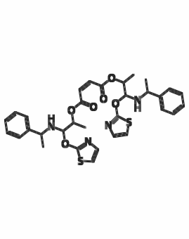 CC(NC(Oc1nccs1)C(C)OC(=O)/C=C\C(=O)OC(C)C(NC(C)c1ccccc1)Oc1nccs1)c1ccccc1